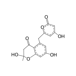 CC1(O)CC(=O)c2c(Cc3cc(O)cc(=O)o3)cc(O)cc2O1